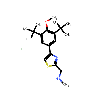 CNCc1nc(-c2cc(C(C)(C)C)c(OC)c(C(C)(C)C)c2)cs1.Cl